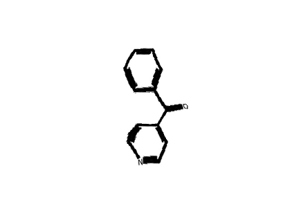 O=C(c1c[c]ccc1)c1ccncc1